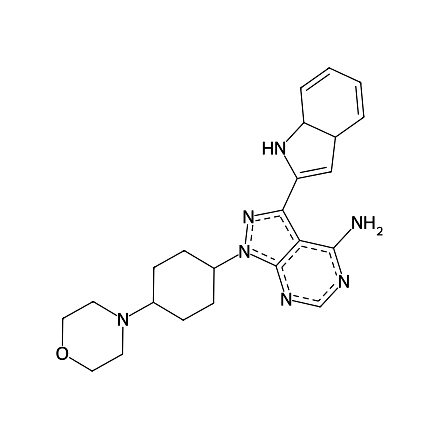 Nc1ncnc2c1c(C1=CC3C=CC=CC3N1)nn2C1CCC(N2CCOCC2)CC1